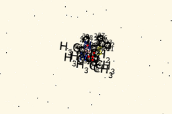 C=C1C=CC(C(C)(C)C)=CC1C(=C)B1c2cc3sc4c5ccccc5c5ccccc5c4c3cc2N(c2ccccc2)c2cc(C)cc(N(C)c3ccccc3)c21